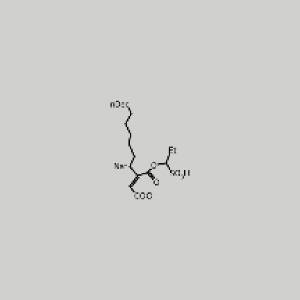 CCCCCCCCCCCCCCCCC(=CC(=O)[O-])C(=O)OC(CC)S(=O)(=O)O.[Na+]